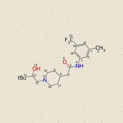 Cc1cc(NC(=O)CC2CCN(CC(O)C(C)(C)C)CC2)cc(C(F)(F)F)c1